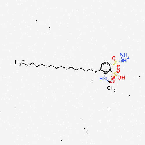 CCCCCCCCCCCCCCCCc1ccc(S(=O)(=O)NN)c(S(=O)(=O)O)c1NC(C)=O